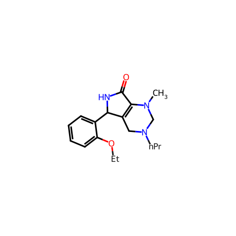 CCCN1CC2=C(C(=O)NC2c2ccccc2OCC)N(C)C1